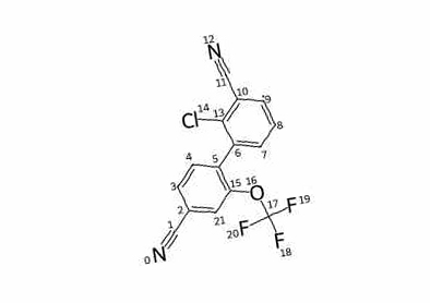 N#Cc1ccc(-c2cc[c]c(C#N)c2Cl)c(OC(F)(F)F)c1